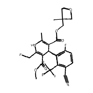 COC(=O)C1=C(CF)NC(C)=C(C(=O)OCC2(C)COC2)C1c1c(F)ccc(C#N)c1C(F)(F)F